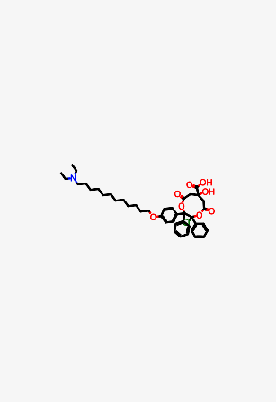 CCN(CC)CCCCCCCCCCCCOc1ccc(C2(c3ccccc3)OC(=O)CC(O)(C(=O)O)CC(=O)OC2(Cl)c2ccccc2)cc1